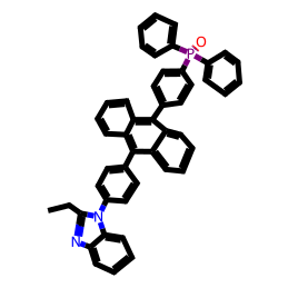 CCc1nc2ccccc2n1-c1ccc(-c2c3ccccc3c(-c3ccc(P(=O)(c4ccccc4)c4ccccc4)cc3)c3ccccc23)cc1